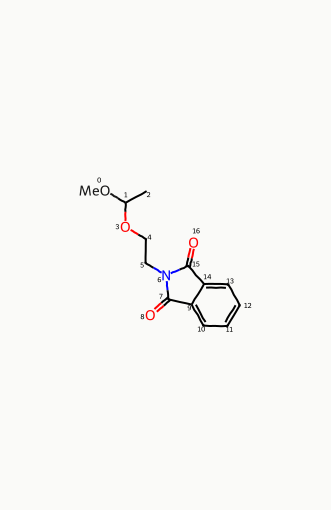 COC(C)OCCN1C(=O)c2ccccc2C1=O